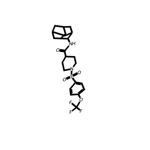 O=C(NC1C2CC3CC(C2)CC1C3)C1CCN(S(=O)(=O)c2ccc(OC(F)(F)F)cc2)CC1